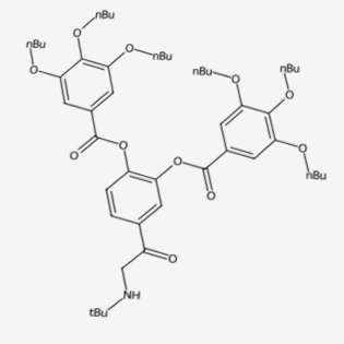 CCCCOc1cc(C(=O)Oc2ccc(C(=O)CNC(C)(C)C)cc2OC(=O)c2cc(OCCCC)c(OCCCC)c(OCCCC)c2)cc(OCCCC)c1OCCCC